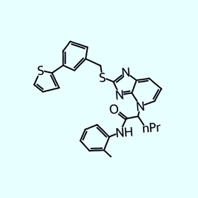 CCCC(C(=O)Nc1ccccc1C)n1cccc2nc(SCc3cccc(-c4cccs4)c3)nc1-2